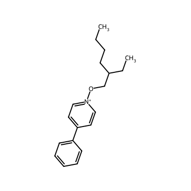 CCCCC(CC)CO[n+]1ccc(-c2ccccc2)cc1